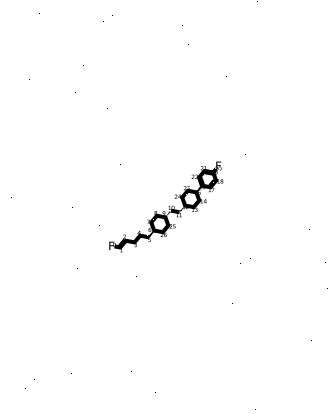 FC=CCCC[C@H]1CC[C@H](CC[C@H]2CC[C@H](c3ccc(F)cc3)CC2)CC1